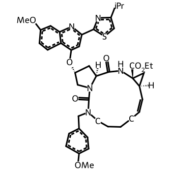 CCOC(=O)[C@@]12C[C@H]1/C=C\CCCCN(Cc1ccc(OC)cc1)C(=O)N1C[C@H](Oc3cc(-c4nc(C(C)C)cs4)nc4cc(OC)ccc34)C[C@H]1C(=O)N2